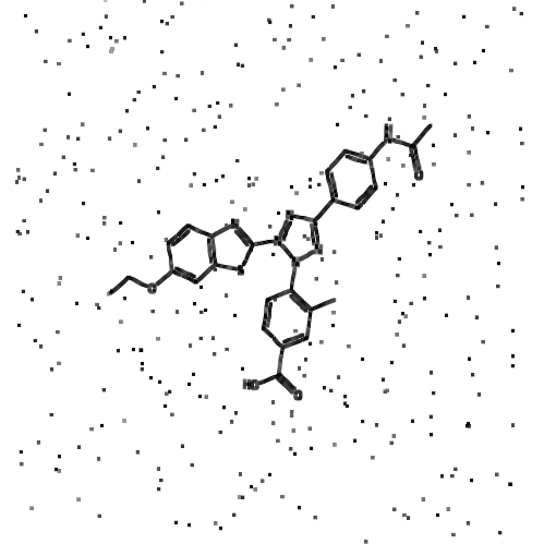 CCOc1ccc2nc(-[n+]3nc(-c4ccc(NC(C)=O)cc4)nn3-c3ccc(C(=O)O)cc3C)sc2c1